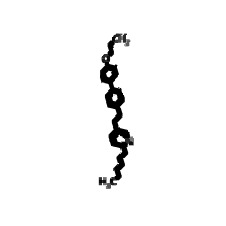 CCCCCCc1ccc(CCc2ccc(-c3ccc(OCCC)cc3)cc2)cn1